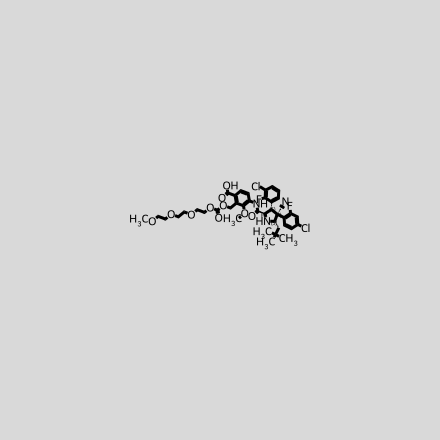 COCCOCCOCCOC(=O)OCc1c(C(=O)O)ccc(NC(=O)[C@@H]2N[C@@H](CC(C)(C)C)[C@](C#N)(c3ccc(Cl)cc3F)[C@H]2c2cccc(Cl)c2F)c1OC